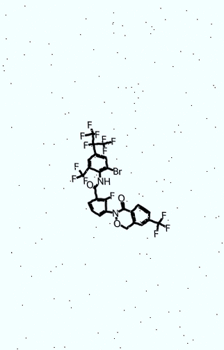 O=C(Nc1c(Br)cc(C(F)(C(F)(F)F)C(F)(F)F)cc1C(F)(F)F)c1cccc(N2OCc3cc(C(F)(F)F)ccc3C2=O)c1F